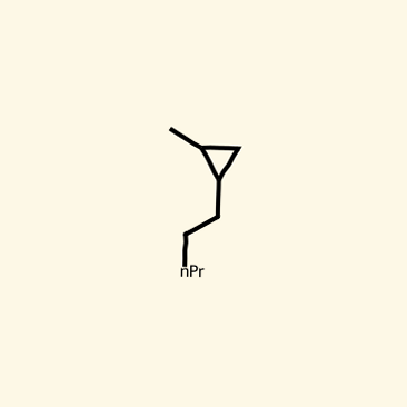 CCCCCC1CC1C